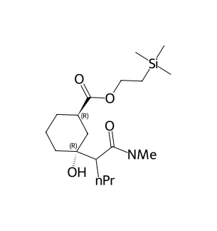 CCCC(C(=O)NC)[C@@]1(O)CCC[C@@H](C(=O)OCC[Si](C)(C)C)C1